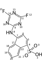 O=S(=O)(O)c1ccc(Nc2nc(F)nc(F)n2)c2ccccc12